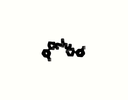 O=[PH](OCP1(=O)OCC[C@@H](c2cccc(Cl)c2)O1)OCP1(=O)OCC[C@@H](c2cccc(Cl)c2)O1